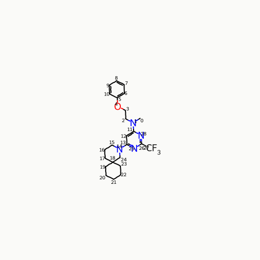 CN(CCOc1ccccc1)c1cc(N2CCCC3(CCCCC3)C2)nc(C(F)(F)F)n1